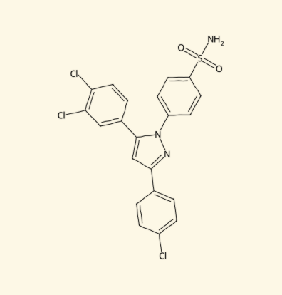 NS(=O)(=O)c1ccc(-n2nc(-c3ccc(Cl)cc3)cc2-c2ccc(Cl)c(Cl)c2)cc1